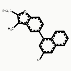 CCOC(=O)c1oc2ccc(-c3cc(C(C)=O)cc4ccccc34)cc2c1C